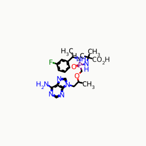 CC(Cn1cnc2c(N)ncnc21)OCP(=O)(N[C@@H](C)c1cccc(F)c1)NC(C)(C)C(=O)O